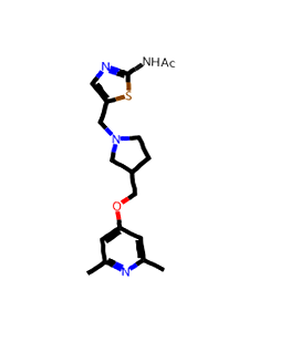 CC(=O)Nc1ncc(CN2CCC(COc3cc(C)nc(C)c3)C2)s1